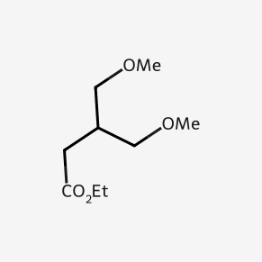 CCOC(=O)CC(COC)COC